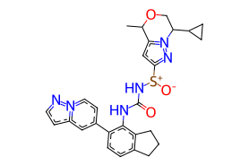 CC1OCC(C2CC2)n2nc([S+]([O-])NC(=O)Nc3c(-c4ccn5nccc5c4)ccc4c3CCC4)cc21